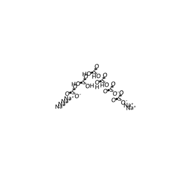 O=S(O)O.O=S(O)O.O=S(O)O.O=S([O-])[O-].O=S([O-])[O-].O=S([O-])[O-].[Na+].[Na+].[Na+].[Na+].[Na+].[Na+]